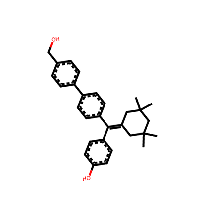 CC1(C)CC(=C(c2ccc(O)cc2)c2ccc(-c3ccc(CO)cc3)cc2)CC(C)(C)C1